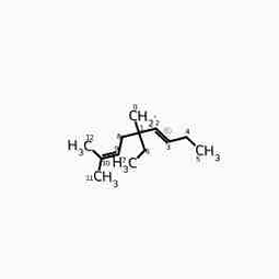 [CH2]C(/C=C/CC)(CC)CC=C(C)C